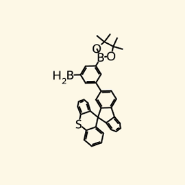 Bc1cc(B2OC(C)(C)C(C)(C)O2)cc(-c2ccc3c(c2)C2(c4ccccc4Sc4ccccc42)c2ccccc2-3)c1